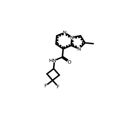 Cc1cn2nccc(C(=O)NC3CC(F)(F)C3)c2n1